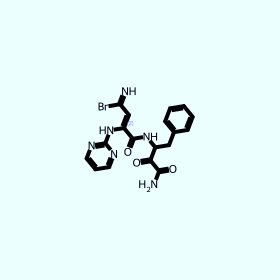 N=C(Br)/C=C(\Nc1ncccn1)C(=O)NC(Cc1ccccc1)C(=O)C(N)=O